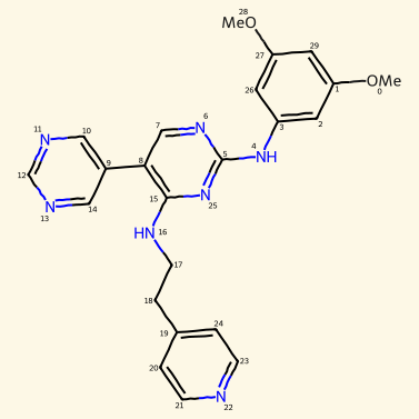 COc1cc(Nc2ncc(-c3cncnc3)c(NCCc3ccncc3)n2)cc(OC)c1